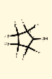 OC1C(F)(F)C(F)(F)C(F)(F)C1(F)F